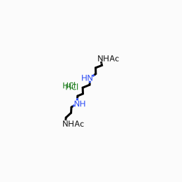 CC(=O)NCCCNCCCCNCCCNC(C)=O.Cl.Cl